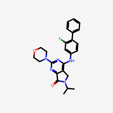 CC(C)N1Cc2c(Nc3ccc(-c4ccccc4)c(F)c3)nc(N3CCOCC3)nc2C1=O